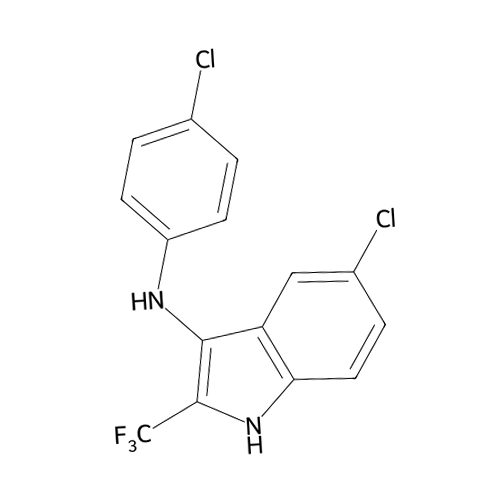 FC(F)(F)c1[nH]c2ccc(Cl)cc2c1Nc1ccc(Cl)cc1